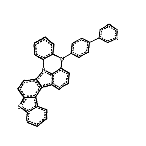 c1cncc(-c2ccc(N3c4ccccc4-n4c5ccc6sc7ccccc7c6c5c5cccc3c54)cc2)c1